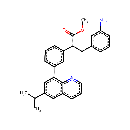 COC(=O)C(Cc1cccc(N)c1)c1cccc(-c2cc(C(C)C)cc3cccnc23)c1